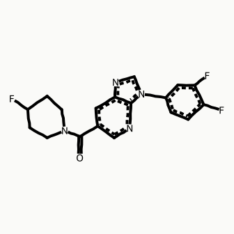 O=C(c1cnc2c(c1)ncn2-c1ccc(F)c(F)c1)N1CCC(F)CC1